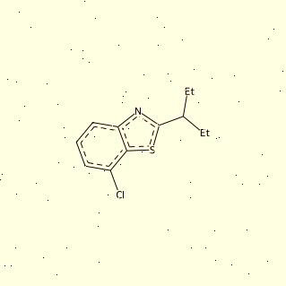 CCC(CC)c1nc2cccc(Cl)c2s1